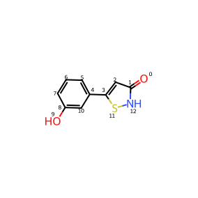 O=c1cc(-c2cccc(O)c2)s[nH]1